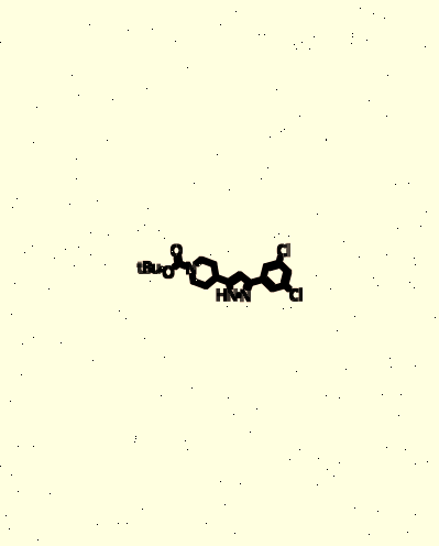 CC(C)(C)OC(=O)N1CCC(c2cc(-c3cc(Cl)cc(Cl)c3)n[nH]2)CC1